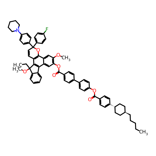 CCCCC[C@H]1CC[C@H](c2ccc(C(=O)Oc3ccc(-c4ccc(C(=O)Oc5cc6c7c(c8c(c6cc5OC)OC(c5ccc(F)cc5)(c5ccc(N6CCCCC6)cc5)C=C8)C(CC)(OC)c5ccccc5-7)cc4)cc3)cc2)CC1